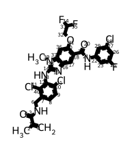 C=C(C)C(=O)NCc1ccc(Cl)c(Nc2nc3cc(C(=O)Nc4cc(F)cc(Cl)c4)c(OCC(F)F)cc3n2C)c1Cl